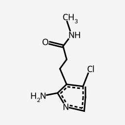 CNC(=O)CCc1c(Cl)ccnc1N